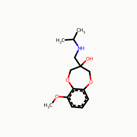 COc1cccc2c1OCC(O)(CNC(C)C)CO2